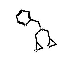 c1ccc(CN(CC2CO2)CC2CO2)nc1